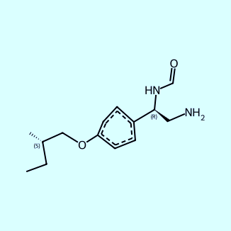 CC[C@H](C)COc1ccc([C@H](CN)NC=O)cc1